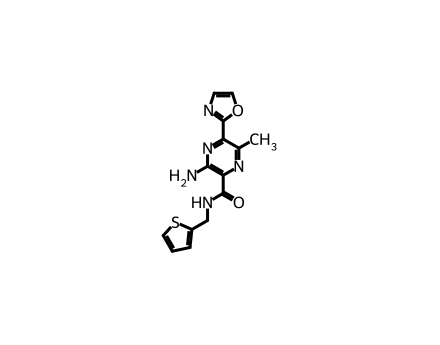 Cc1nc(C(=O)NCc2cccs2)c(N)nc1-c1ncco1